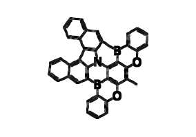 Cc1c2c3c4c5c1Oc1ccccc1B5c1cc5ccccc5c5c6c7ccccc7cc(c6n-4c15)B3c1ccccc1O2